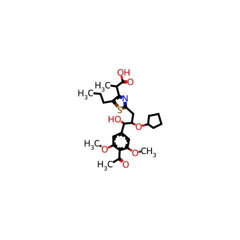 CCCc1sc(CC(OC2CCCC2)C(O)c2cc(OC)c(C(C)=O)c(OC)c2)nc1C(C)C(=O)O